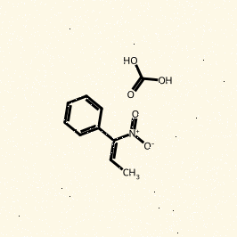 CC=C(c1ccccc1)[N+](=O)[O-].O=C(O)O